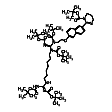 CC(C)(C)OC(=O)/N=C(/N(CCCCCCCN/C(=N\C(=O)OC(C)(C)C)NC(=O)OC(C)(C)C)C(=O)OC(C)(C)C)N(CCOc1ccc2cc(C3=NCCCN3C(=O)OC(C)(C)C)ccc2c1)C(=O)OC(C)(C)C